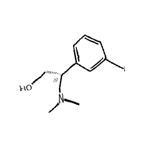 CN(C)[C@H](CO)c1cccc(I)c1